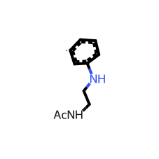 CC(=O)NCCNc1c[c]ccc1